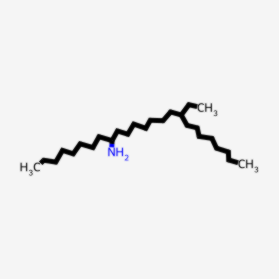 CCCCCCCCC(N)CCCCCCCC(CC)CCCCCCCC